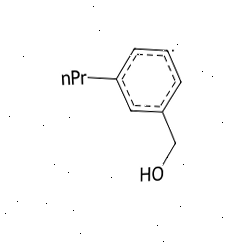 CCCc1c[c]cc(CO)c1